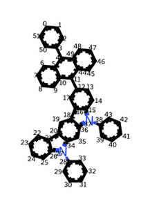 c1ccc(-c2c3ccccc3c(-c3ccc4c(c3)c3cc5c6ccccc6n(-c6ccccc6)c5cc3n4-c3ccccc3)c3ccccc23)cc1